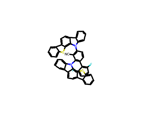 N#Cc1c(-n2c3ccccc3c3ccc4c5ccccc5sc4c32)ccc(-c2c(F)cccc2F)c1-n1c2ccccc2c2ccc3c4ccccc4sc3c21